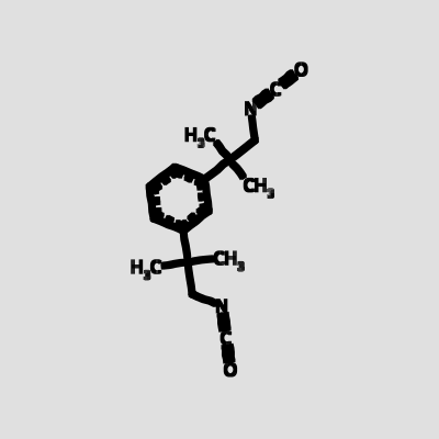 CC(C)(CN=C=O)c1cccc(C(C)(C)CN=C=O)c1